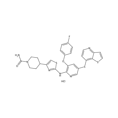 Cl.NC(=O)N1CCC(c2csc(Nc3ncc(Sc4ccnc5ccsc45)cc3Oc3ccc(F)cc3)n2)CC1